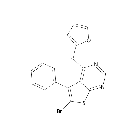 Brc1sc2ncnc([CH]c3ccco3)c2c1-c1ccccc1